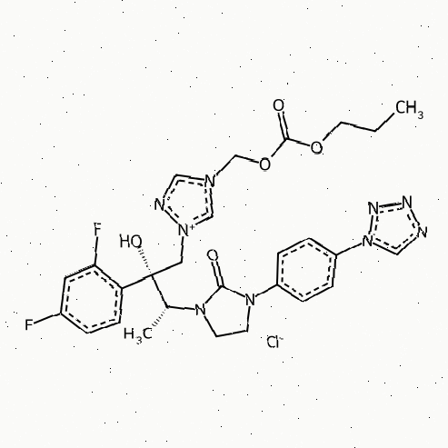 CCCOC(=O)OCn1cn[n+](C[C@](O)(c2ccc(F)cc2F)[C@@H](C)N2CCN(c3ccc(-n4cnnn4)cc3)C2=O)c1.[Cl-]